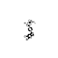 CC(C)(C)OC(=O)N1CCN(c2snc3nc(Br)c(Cl)cc23)CC1